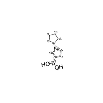 OB(O)c1ccn(C2CCCC2)c1